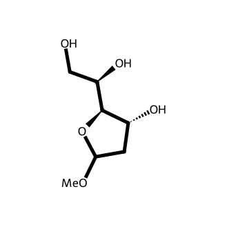 COC1C[C@@H](O)[C@H]([C@H](O)CO)O1